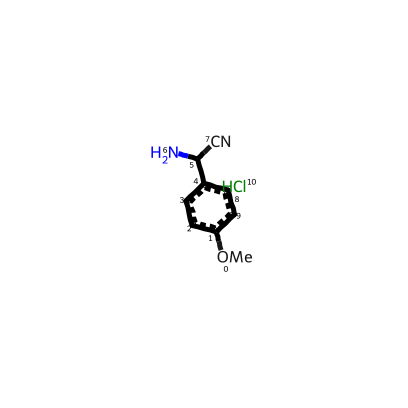 COc1ccc(C(N)C#N)cc1.Cl